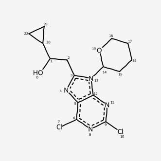 OC(Cc1nc2c(Cl)nc(Cl)nc2n1C1CCCCO1)C1CC1